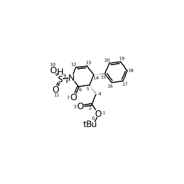 CC(C)(C)OC(=O)C[C@@H]1C(=O)N([SH](=O)=O)C=C[C@@H]1c1ccccc1